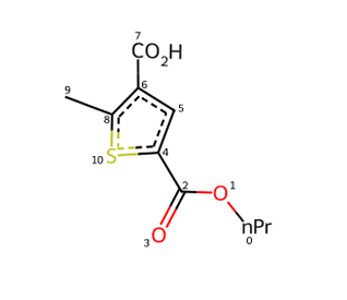 CCCOC(=O)c1cc(C(=O)O)c(C)s1